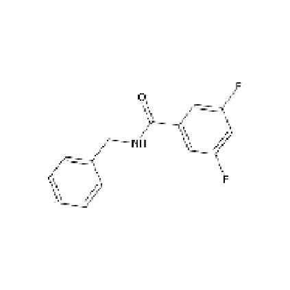 O=C(NCc1cc[c]cc1)c1cc(F)cc(F)c1